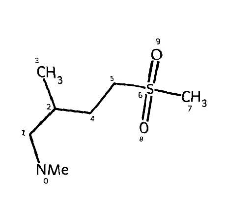 CNCC(C)CCS(C)(=O)=O